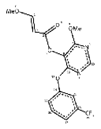 COC=CC(=O)Oc1c(OC)ncnc1Oc1cccc(C(F)(F)F)c1